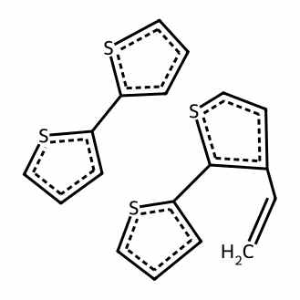 C=Cc1ccsc1-c1cccs1.c1csc(-c2cccs2)c1